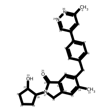 Cc1cc(-c2ccc(Cc3cc4c(cc3C)CN(C3CCCC3O)C4=O)cc2)cnn1